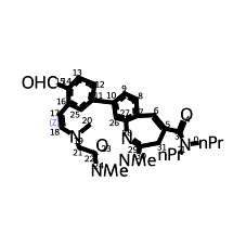 CCCN(CCC)C(=O)C1=Cc2ccc(-c3ccc(C=O)c(/C=C\N(C)CC(=O)NC)c3)cc2N=C(NC)C1